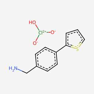 NCc1ccc(-c2cccs2)cc1.[O-][Cl+2]([O-])O